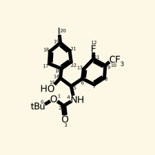 CC(C)(C)OC(=O)NC(c1ccc(C(F)(F)F)c(F)c1)C(O)c1ccc(I)cc1